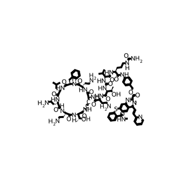 CNC(=O)c1ccccc1Sc1ccc(C(/C=C/c2ccccn2)=N\CC(=O)OCc2ccc(NC(=O)[C@H](CCCNC(N)=O)NC(=O)[C@@H](NC(=O)N[C@H](C(=O)NC(CCN)C(=O)N[C@H]3CCNC(=O)[C@H]([C@@H](C)O)NC(=O)[C@H](CCN)NC(=O)[C@H](CCN)NC(=O)[C@H](CC(C)C)NC(=O)[C@@H](Cc4ccccc4)NC(=O)[C@H](CCN)NC3=O)[C@@H](C)O)C(C)C)cc2)c(N)c1